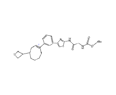 CC(C)(C)OC(=O)NCC(=O)Nc1nc(-c2cccc(/C3=C/CC(C4COC4)CCCC3)c2)cs1